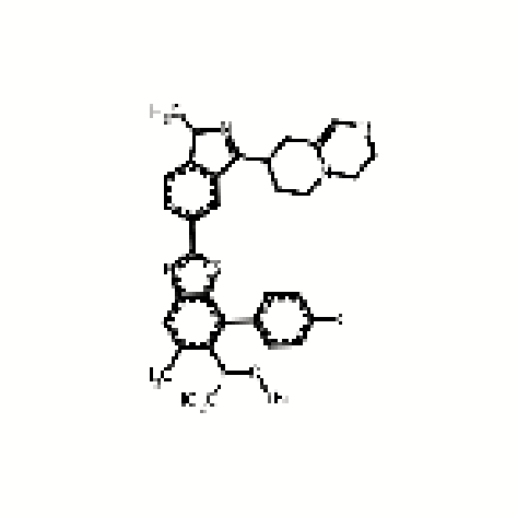 Cc1cc2nc(-c3ccc4c(c3)C(C3CCN5CCOC=C5C3)=NC4C)sc2c(-c2ccc(Cl)cc2)c1[C@H](OC(C)(C)C)C(=O)O